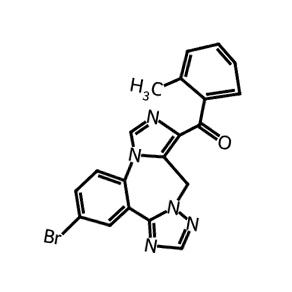 Cc1ccccc1C(=O)c1ncn2c1Cn1ncnc1-c1cc(Br)ccc1-2